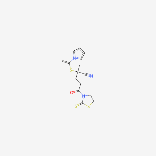 C=C(SC(C)(C#N)CCC(=O)N1CCSC1=S)n1cccc1